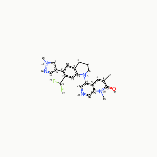 Cc1cc2c(N3CCCc4cc(-c5cnn(C)c5)c(C(F)F)cc43)cncc2n(C)c1=O